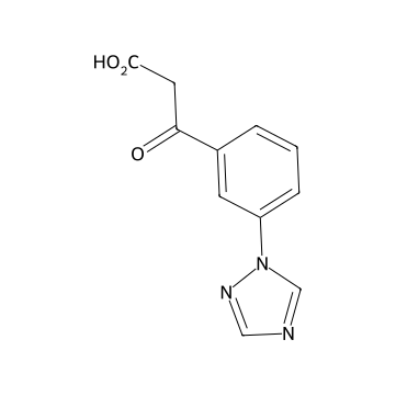 O=C(O)CC(=O)c1cccc(-n2cncn2)c1